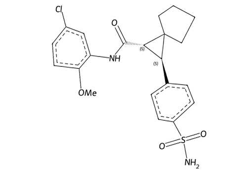 COc1ccc(Cl)cc1NC(=O)[C@H]1[C@H](c2ccc(S(N)(=O)=O)cc2)C12CCCC2